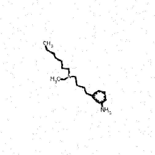 CCCCCCCN(CC)CCCCc1cccc(N)c1